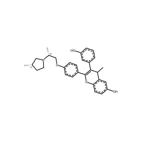 CC1C(c2cccc(O)c2)=C(c2ccc(OC[C@@H](C)N3CC[C@H](C)C3)cc2)Oc2ccc(O)cc21